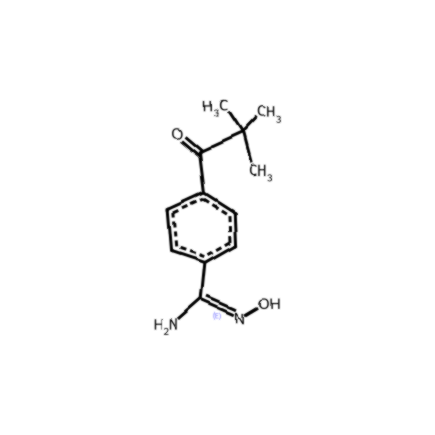 CC(C)(C)C(=O)c1ccc(/C(N)=N\O)cc1